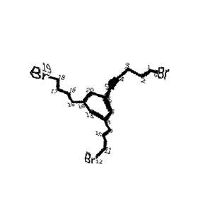 BrCCCC#Cc1cc(CCCBr)cc(CCCCBr)c1